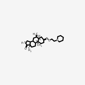 C=C1CC2C3C[C@@H](F)C(=O)[C@@]3(C)CCC2[C@@]2(C)CCC(=NOCCN3CCCCC3)C[C@H]12